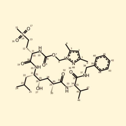 Cc1cc(C)n(COC(=O)N[C@@H](CCS(C)(=O)=O)C(=O)N[C@@H](CC(C)C)[C@@H](O)C[C@@H](C)C(=O)N[C@H](C(=O)NCc2ccccc2)C(C)C)n1